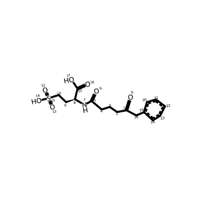 O=C(CCCC(=O)N[C@@H](CCS(=O)(=O)O)C(=O)O)Cc1ccccc1